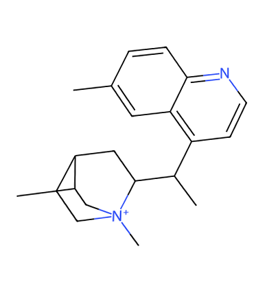 Cc1ccc2nccc(C(C)C3CC4CC[N+]3(C)CC4C)c2c1